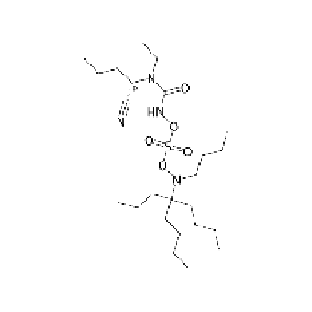 CCCCN(OS(=O)(=O)ONC(=O)N(CC)[C@H](C#N)CCC)C(CCC)(CCCC)CCCC